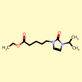 CCOC(=O)CCCCn1ccn(C(C)C)c1=O